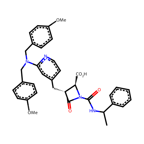 COc1ccc(CN(Cc2ccc(OC)cc2)c2cc(C[C@H]3C(=O)N(C(=O)NC(C)c4ccccc4)[C@@H]3C(=O)O)ccn2)cc1